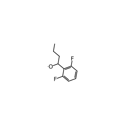 CCCC([O])c1c(F)cccc1F